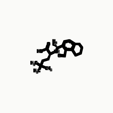 C[C@@H](N[C@@H](CCC(C)(C)C)C(=O)O)c1ccc2c(c1C=O)CCCC2